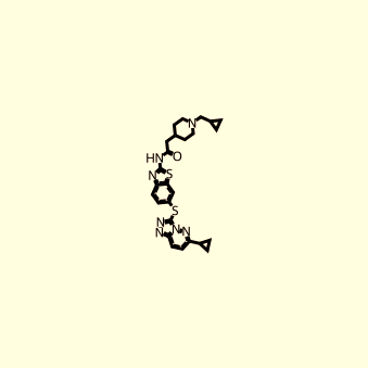 O=C(CC1CCN(CC2CC2)CC1)Nc1nc2ccc(Sc3nnc4ccc(C5CC5)nn34)cc2s1